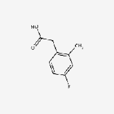 Cc1cc(F)ccc1CC(=O)O